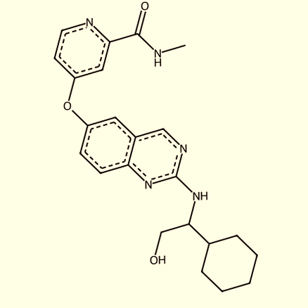 CNC(=O)c1cc(Oc2ccc3nc(NC(CO)C4CCCCC4)ncc3c2)ccn1